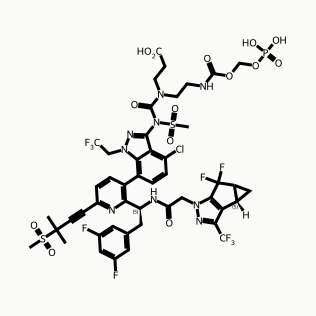 CC(C)(C#Cc1ccc(-c2ccc(Cl)c3c(N(C(=O)N(CCNC(=O)OCOP(=O)(O)O)CCC(=O)O)S(C)(=O)=O)nn(CC(F)(F)F)c23)c([C@H](Cc2cc(F)cc(F)c2)NC(=O)Cn2nc(C(F)(F)F)c3c2C(F)(F)C2C[C@H]32)n1)S(C)(=O)=O